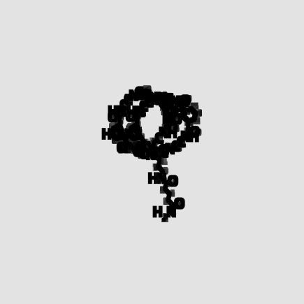 NC(=O)CCCC(=O)NCCCCC1CN2CCNC(=O)c3cccc(c3O)C(=O)NCCN(CCNC(=O)c3cccc(c3O)C(=O)N1)CCN1CCNC(=O)c3cccc(c3O)C(=O)NCCN(CCNC(=O)c3cccc(c3O)C(=O)NCC1)CC2